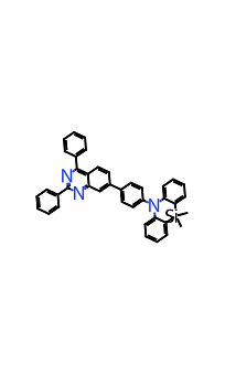 C[Si]1(C)c2ccccc2N(c2ccc(-c3ccc4c(-c5ccccc5)nc(-c5ccccc5)nc4c3)cc2)c2ccccc21